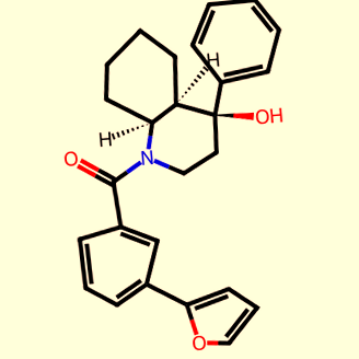 O=C(c1cccc(-c2ccco2)c1)N1CC[C@@](O)(c2ccccc2)[C@@H]2CCCC[C@@H]21